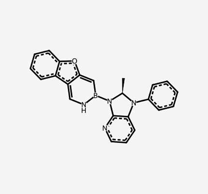 C[C@@H]1N(B2C=c3oc4ccccc4c3=CN2)c2ncccc2N1c1ccccc1